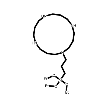 CCO[Si](CCCN1CCCNCCCNCCCNCCC1)(OCC)OCC